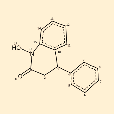 O=C1CC(c2ccccc2)c2ccccc2N1O